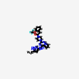 Cc1cc(Nc2nc(N3CCN(C(=O)Cc4ccccc4OC(F)(F)F)CC3)nn3cccc23)n[nH]1